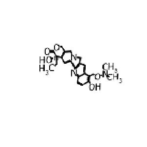 CC[C@@]1(O)C(=O)OCC2=C1C=C1c3nc4ccc(O)c(CON(C)C)c4cc3CN1C2